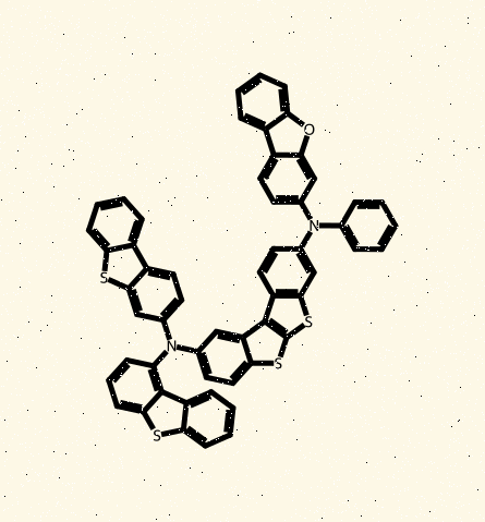 c1ccc(N(c2ccc3c(c2)oc2ccccc23)c2ccc3c(c2)sc2sc4ccc(N(c5ccc6c(c5)sc5ccccc56)c5cccc6sc7ccccc7c56)cc4c23)cc1